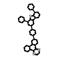 c1ccc(-c2cccc3c2sc2c(-c4ccccc4)cc(-c4ccc(-c5ccc6c(c5)c5ccccc5c5nccnc65)cc4)cc23)cc1